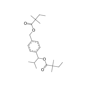 CCC(C)(C)C(=O)OCc1ccc(C(OC(=O)C(C)(C)CC)C(C)C)cc1